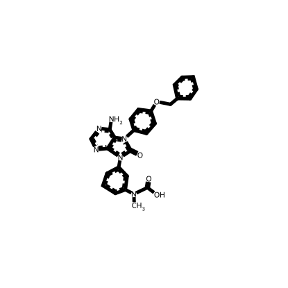 CN(C(=O)O)c1cccc(-n2c(=O)n(-c3ccc(OCc4ccccc4)cc3)c3c(N)ncnc32)c1